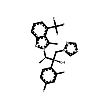 Cc1c2c(C(F)(F)F)cccc2nn1[C@H](C)[C@](O)(Cn1cncn1)c1ccc(F)cc1F